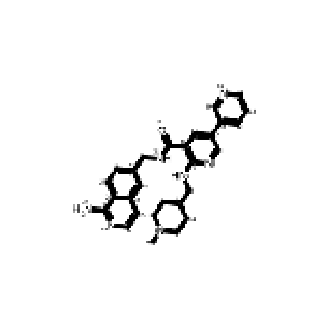 CN1CCC(CNc2ncc(-c3cccnc3)cc2C(=O)NCc2ccc3c(N)nccc3c2)CC1